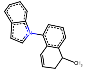 CC1CC=Cc2c1cccc2-n1ccc2ccccc21